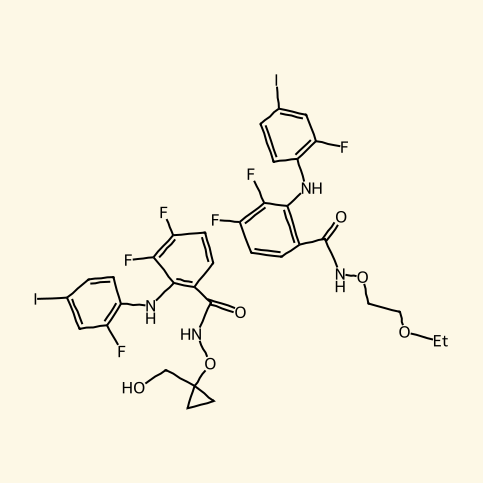 CCOCCONC(=O)c1ccc(F)c(F)c1Nc1ccc(I)cc1F.O=C(NOC1(CO)CC1)c1ccc(F)c(F)c1Nc1ccc(I)cc1F